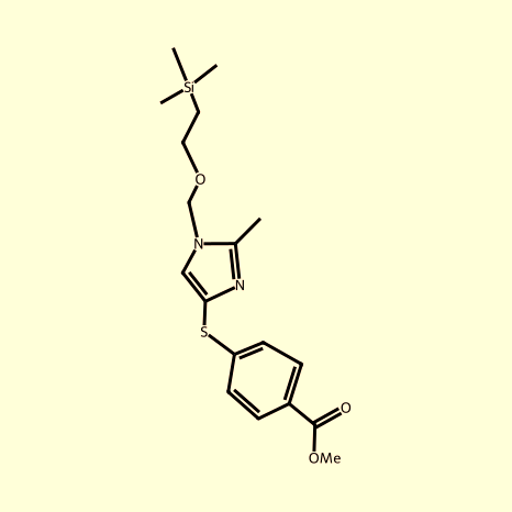 COC(=O)c1ccc(Sc2cn(COCC[Si](C)(C)C)c(C)n2)cc1